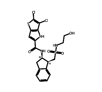 O=C(N[C@@H]1Cc2ccccc2[C@@H]1CS(=O)(=O)NCCO)c1cc2sc(Cl)c(Cl)c2[nH]1